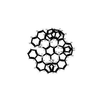 N#Cc1c(-n2c3ccccc3c3ccc4ccccc4c32)c(C#N)c(-n2c3ccccc3c3ccc4ccccc4c32)c(-n2c3ccccc3c3ccc4ccccc4c32)c1-n1c2ccccc2c2ccc3ccccc3c21